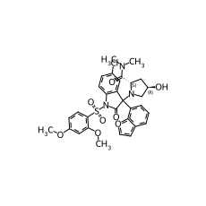 COc1ccc(S(=O)(=O)N2C(=O)C(c3cccc4ccoc34)(N3C[C@H](O)C[C@H]3C(=O)N(C)C)c3cc(Cl)ccc32)c(OC)c1